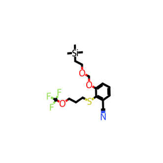 C[Si](C)(C)CCOCOc1cccc(C#N)c1SCCCOC(F)(F)F